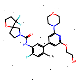 Cc1cc(F)c(NC(=O)N2CCC3(C2)OCCC3(F)F)cc1-c1cc(OCCO)nc(N2CCOCC2)c1